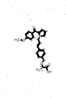 COc1ccc(C(=O)c2cccn2C/C=C/c2ccc(CO[C@H](C)C(=O)O)cc2)cc1